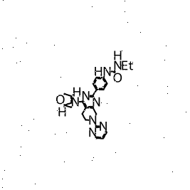 CCNC(=O)Nc1ccc(-c2nc3c(c(N4C[C@@H]5C[C@H]4CO5)n2)CCN(c2ncccn2)C3)cc1